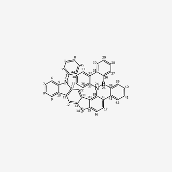 c1ccc(-n2c3ccccc3c3cc4sc5ccc6c(c5c4cc32)N2B(c3ccccc3-c3ccccc32)c2ccccc2-6)cc1